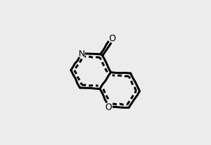 O=c1nccc2occcc1-2